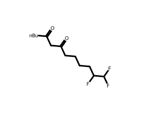 CCCCC(=O)CC(=O)CCCCC(F)C(F)F